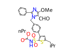 CCCOC(=O)NS(=O)(=O)c1sc(CC(C)C)cc1-c1ccc(Cn2c(-c3ccccc3)nc(OC)c2C=O)cc1